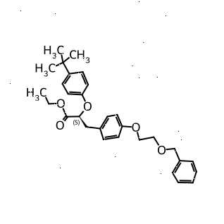 CCOC(=O)[C@H](Cc1ccc(OCCOCc2ccccc2)cc1)Oc1ccc(C(C)(C)C)cc1